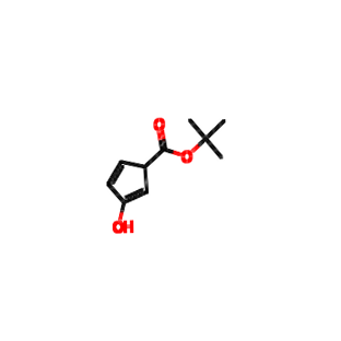 CC(C)(C)OC(=O)C1C=CC(O)=C1